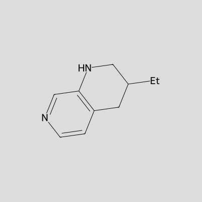 CCC1CNc2cnccc2C1